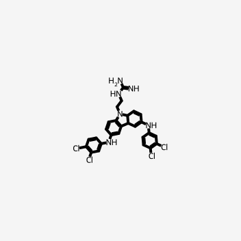 N=C(N)NCCN1c2ccc(Nc3ccc(Cl)c(Cl)c3)cc2C2C=C(Nc3ccc(Cl)c(Cl)c3)C=CC21